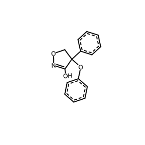 OC1=NOCC1(Oc1ccccc1)c1ccccc1